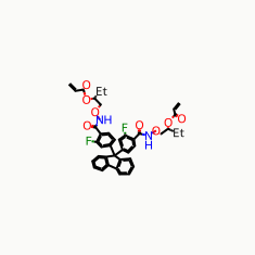 C=CC(=O)OC(CC)CONC(=O)c1ccc(C2(c3ccc(C(=O)NOCC(CC)OC(=O)C=C)c(F)c3)c3ccccc3-c3ccccc32)cc1F